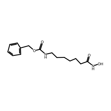 O=C(CCCCCCNC(=O)OCc1ccccc1)NO